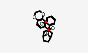 O=C(c1ccc2c(c1)OCCO2)N1C2CCC1CC(c1ccccc1O)C2